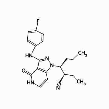 CCC[C@@H]([C@H](C#N)CC)n1nc(Nc2ccc(F)cc2)c2c(=O)[nH]ccc21